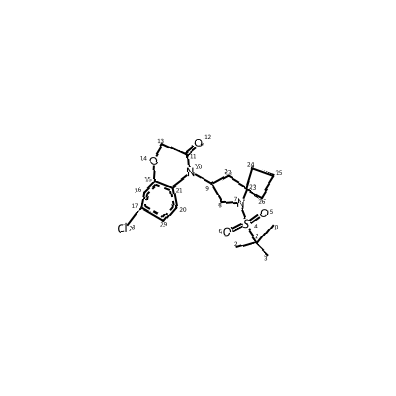 CC(C)(C)S(=O)(=O)N1CC(N2C(=O)COc3cc(Cl)ccc32)CC12CCC2